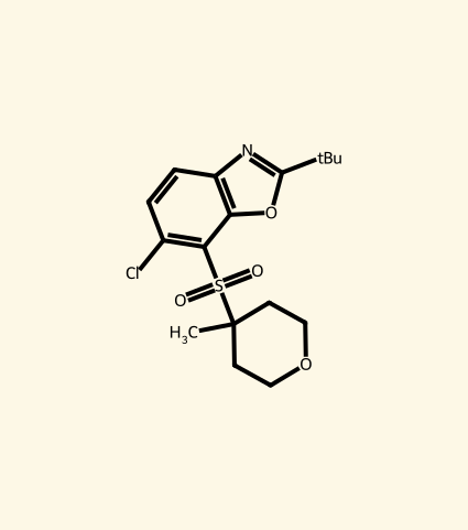 CC(C)(C)c1nc2ccc(Cl)c(S(=O)(=O)C3(C)CCOCC3)c2o1